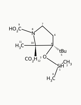 C[SiH](C)O[C@]1(C(C)(C)C)CCN(C(=O)O)[C@]1(C)C(=O)O